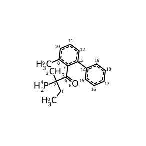 CCC(C)(P)C(=O)c1c(C)cccc1-c1ccccc1